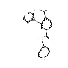 CC(N)c1ccc(C(=O)Nc2ccncc2)cc1-c1ccoc1.Cl.Cl